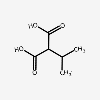 [CH2]C(C)C(C(=O)O)C(=O)O